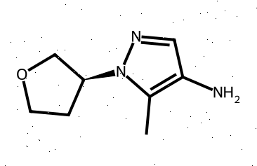 Cc1c(N)cnn1[C@H]1CCOC1